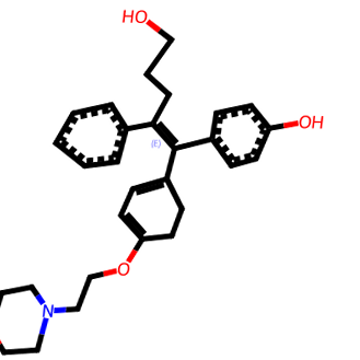 OCCC/C(=C(/C1=CC=C(OCCN2CCOCC2)CC1)c1ccc(O)cc1)c1ccccc1